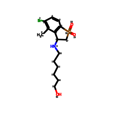 Cc1c(Br)ccc2c1C(NCCCCCCO)CS2(=O)=O